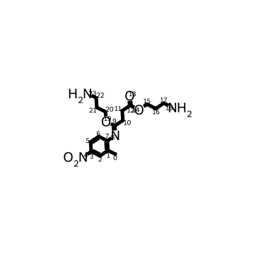 Cc1cc([N+](=O)[O-])ccc1N=C(CCC(=O)OCCCN)OCCCN